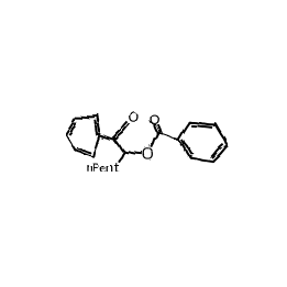 CCCCCC(OC(=O)c1ccccc1)C(=O)c1ccccc1